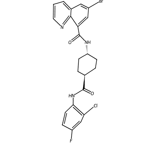 O=C(N[C@H]1CC[C@H](C(=O)Nc2ccc(F)cc2Cl)CC1)c1cc(Br)cc2cccnc12